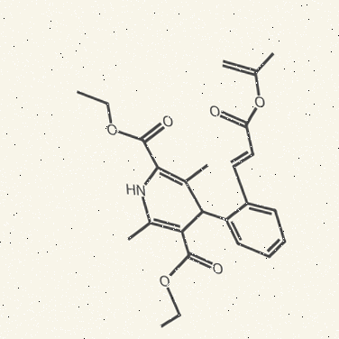 C=C(C)OC(=O)/C=C/c1ccccc1C1C(C)=C(C(=O)OCC)NC(C)=C1C(=O)OCC